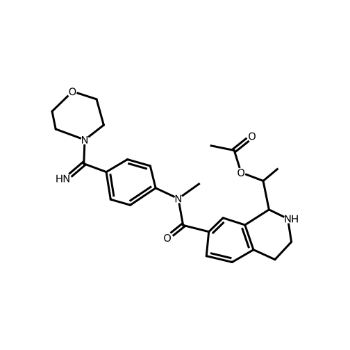 CC(=O)OC(C)C1NCCc2ccc(C(=O)N(C)c3ccc(C(=N)N4CCOCC4)cc3)cc21